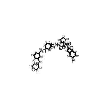 O=C(NCc1cccc(OCc2cccc(CN3CCOCC3)c2)c1)[C@@H]1CCCN1S(=O)(=O)c1cc2cc(F)ccc2o1